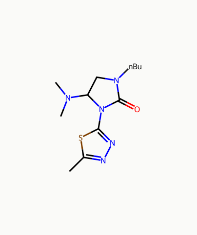 CCCCN1CC(N(C)C)N(c2nnc(C)s2)C1=O